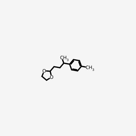 Cc1ccc(C(C)CCC2OCCO2)cc1